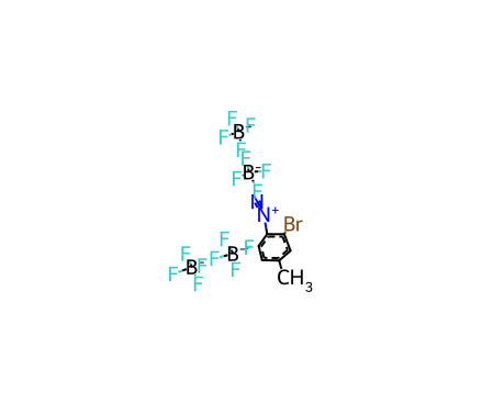 Cc1ccc([N+]#N)c(Br)c1.F[B-](F)(F)F.F[B-](F)(F)F.F[B-](F)(F)F.F[B-](F)(F)F